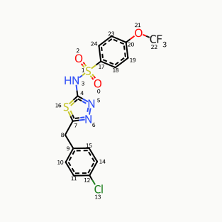 O=S(=O)(Nc1nnc(Cc2ccc(Cl)cc2)s1)c1ccc(OC(F)(F)F)cc1